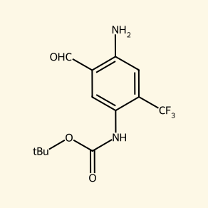 CC(C)(C)OC(=O)Nc1cc(C=O)c(N)cc1C(F)(F)F